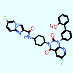 O=C(NC1CCC(n2c(=O)c3cc(F)cnc3n(-c3cccc(-c4ccccc4O)c3)c2=O)CC1)c1cn2cc(F)ccc2n1